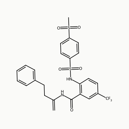 C=C(CCc1ccccc1)NC(=O)c1cc(C(F)(F)F)ccc1NS(=O)(=O)c1ccc(S(C)(=O)=O)cc1